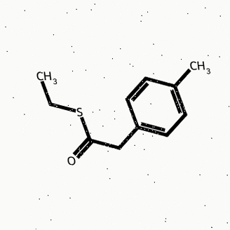 CCSC(=O)Cc1ccc(C)cc1